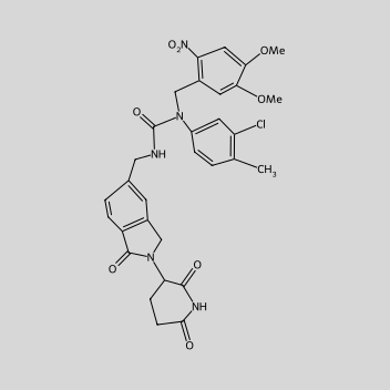 COc1cc(CN(C(=O)NCc2ccc3c(c2)CN(C2CCC(=O)NC2=O)C3=O)c2ccc(C)c(Cl)c2)c([N+](=O)[O-])cc1OC